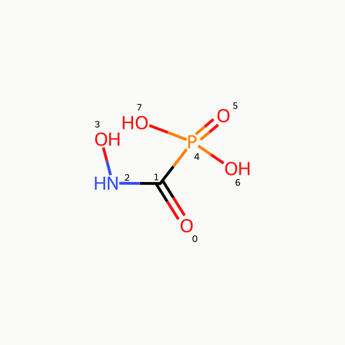 O=C(NO)P(=O)(O)O